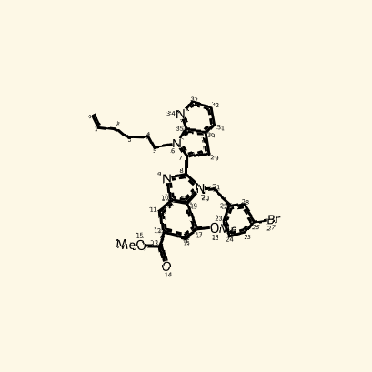 C=CCCCCn1c(-c2nc3cc(C(=O)OC)cc(OC)c3n2Cc2cccc(Br)c2)cc2cccnc21